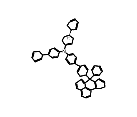 C1=CCC(c2ccc(N(C3=CC[C@H](C4C=CC=CC4)CC3)c3ccc(C4=CCC(C5(c6ccccc6)C6=C(CCC=C6)c6cccc7cccc5c67)C=C4)cc3)cc2)C=C1